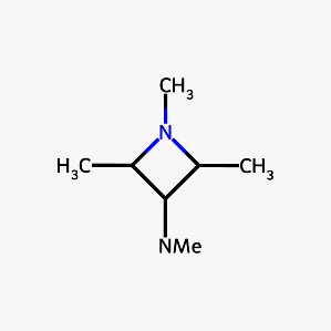 CNC1C(C)N(C)C1C